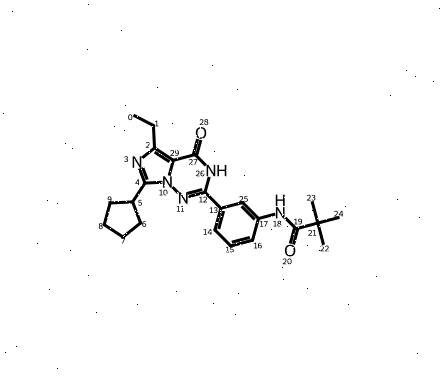 CCc1nc(C2CCCC2)n2nc(-c3cccc(NC(=O)C(C)(C)C)c3)[nH]c(=O)c12